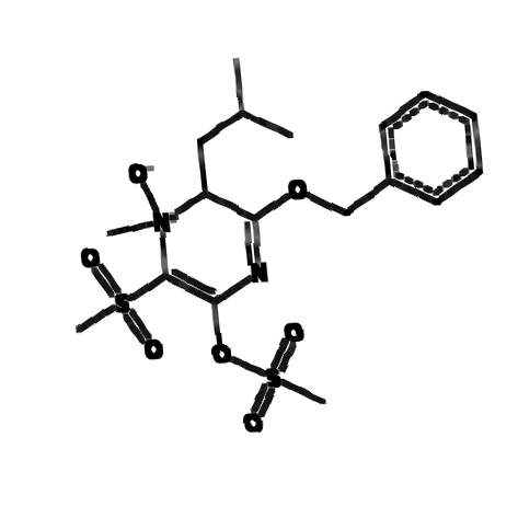 CC(C)CC1C(OCc2ccccc2)=NC(OS(C)(=O)=O)=C(S(C)(=O)=O)[N+]1(C)[O-]